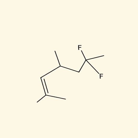 CC(C)=CC(C)CC(C)(F)F